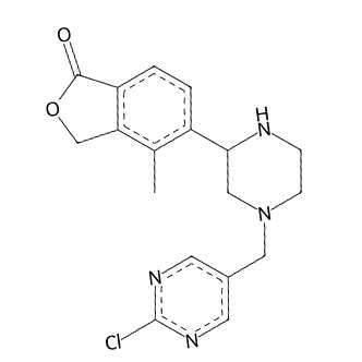 Cc1c(C2CN(Cc3cnc(Cl)nc3)CCN2)ccc2c1COC2=O